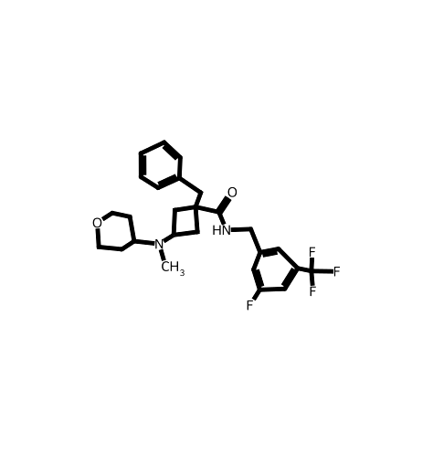 CN(C1CCOCC1)C1CC(Cc2ccccc2)(C(=O)NCc2cc(F)cc(C(F)(F)F)c2)C1